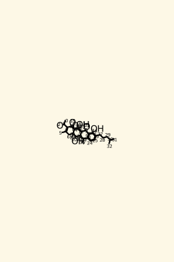 CC(=O)C1=C(C)C[C@@]2(C)[C@H](O)[C@]3(C)C(=C(O)[C@@]2(O)C1=O)C(=O)c1c(ccc(CCCC(C)C)c1O)[C@H]3C